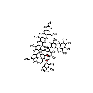 CC1C(O)[C@H](O[C@@H]2OC(CO)[C@H](O)C(O)[C@@H]2O)[C@H](CO)O[C@H]1OC1[C@@H](OCC2O[C@@H](O[C@@H]3C(CO)O[C@@H](O[C@@H]4C(CO)O[C@@H](NC(=O)CBr)[C@@H](C)C4O)[C@@H](C)C3O)[C@H](O)C(O[C@H]3O[C@H](CO)[C@@H](O)C(O)C3O[C@@H]3OC(CO)[C@@H](O[C@@H]4OC(CO)C(O)[C@@H](O)[C@@H]4O)C(O)[C@@H]3C)[C@@H]2O)OC(CO)[C@@H](O)[C@@H]1O